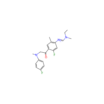 CCN(C)/C=N/c1cc(F)c(C(=O)CN(C)c2ccc(F)cc2)cc1C